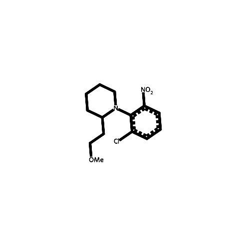 COCCC1CCCCN1c1c(Cl)cccc1[N+](=O)[O-]